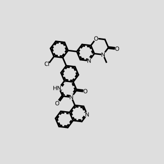 CN1C(=O)COc2cc(-c3cccc(Cl)c3-c3ccc4c(=O)n(-c5cncc6ccccc56)c(=O)[nH]c4c3)cnc21